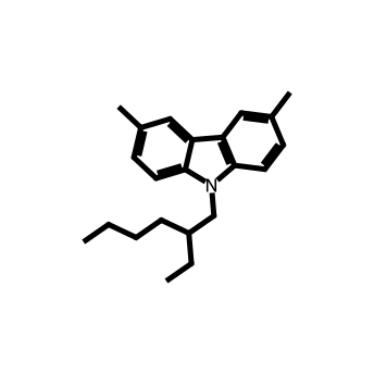 CCCCC(CC)Cn1c2ccc(C)cc2c2cc(C)ccc21